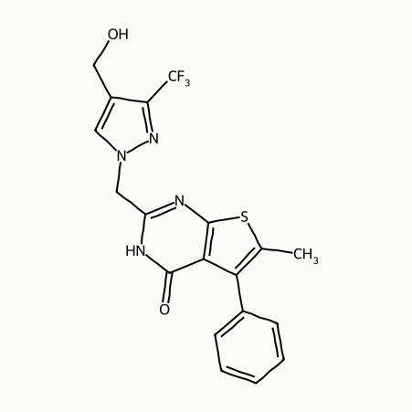 Cc1sc2nc(Cn3cc(CO)c(C(F)(F)F)n3)[nH]c(=O)c2c1-c1ccccc1